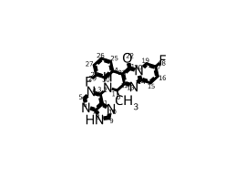 C[C@@H](Nc1ncnc2[nH]cnc12)c1nc2ccc(F)cn2c(=O)c1-c1cccc(F)c1